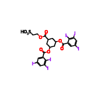 O=C(OC1CC(OC(=O)c2cc(I)cc(I)c2I)CC(C(=O)OCCS(=O)(=O)O)C1)c1cc(I)cc(I)c1I